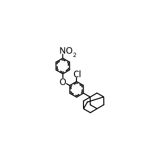 O=[N+]([O-])c1ccc(Oc2ccc(C34CC5CC(CC(C5)C3)C4)cc2Cl)cc1